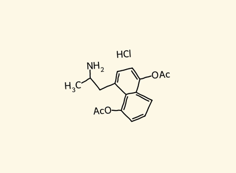 CC(=O)Oc1ccc(CC(C)N)c2c(OC(C)=O)cccc12.Cl